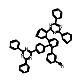 N#Cc1cccc(-c2cccc(-c3ccccc3-c3nc(-c4ccccc4)nc(-c4ccccc4)n3)c2-c2ccc(-c3nc(-c4ccccc4)nc(-c4ccccc4)n3)cc2)c1